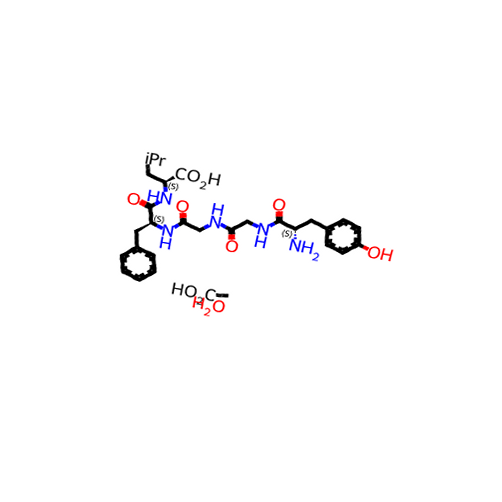 CC(=O)O.CC(C)C[C@H](NC(=O)[C@H](Cc1ccccc1)NC(=O)CNC(=O)CNC(=O)[C@@H](N)Cc1ccc(O)cc1)C(=O)O.O